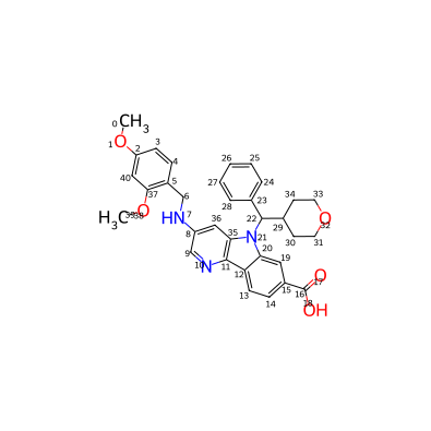 COc1ccc(CNc2cnc3c4ccc(C(=O)O)cc4n(C(c4ccccc4)C4CCOCC4)c3c2)c(OC)c1